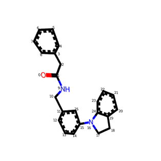 O=C(Cc1ccccc1)NCc1cccc(N2CCc3ccccc32)c1